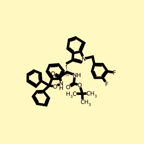 CC(C)(C)OC(=O)N[C@@H](Cc1cn(Cc2ccc(F)c(F)c2)c2ccccc12)C(=O)NOC(c1ccccc1)(c1ccccc1)c1ccccc1